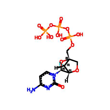 Nc1ccn([C@@H]2O[C@@]3(COP(=O)(O)OP(=O)(O)OP(=O)(O)O)CO[C@@H]2[C@@H]3F)c(=O)n1